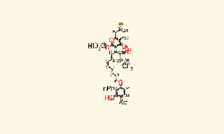 CCCc1c(OCCCC/C=C\C=C\[C@H](c2c(OC(=O)O)oc3c(c2=O)=CCC(=S)C=3)[C@H](O)CCC(F)(F)F)ccc(C(C)=O)c1O